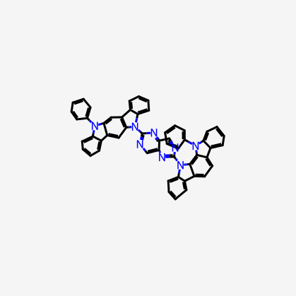 c1ccc(-n2c3ccccc3c3cc4c(cc32)c2ccccc2n4-c2ncc3nc(-n4c5ccccc5c5ccc6c7ccccc7n(-c7ccccc7)c6c54)ncc3n2)cc1